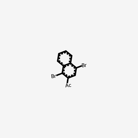 CC(=O)c1cc(Br)c2ccccc2c1Br